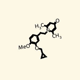 COc1ccc(CCn2c(C)cc(=O)cc2C)cc1OCC1CC1